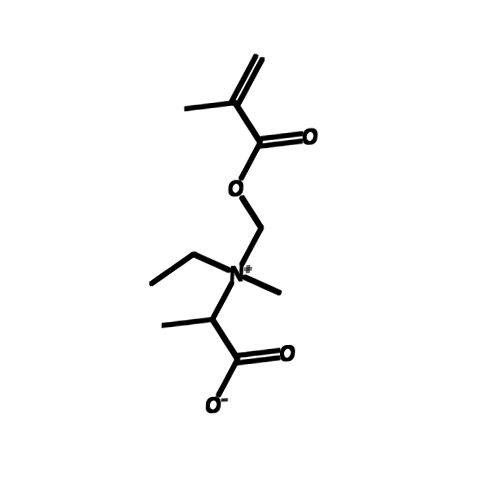 C=C(C)C(=O)OC[N+](C)(CC)C(C)C(=O)[O-]